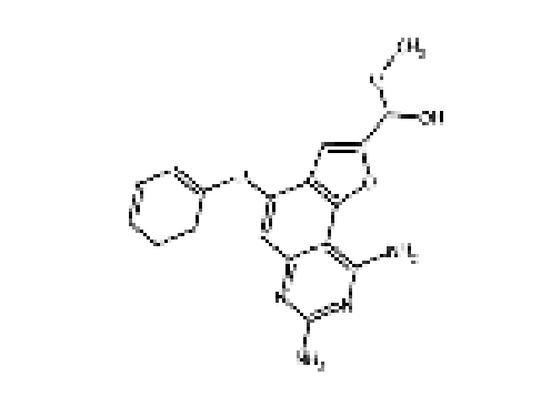 COC(O)c1cc2c(OC3=CC=CCC3)cc3nc(N)nc(N)c3c2o1